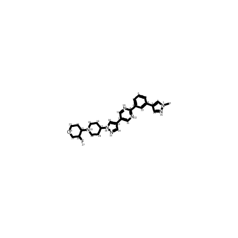 Cn1cc(-c2cccc(-c3ncc(-c4cnn(C5CCN(C6CCOCC6F)CC5)c4)cn3)c2)cn1